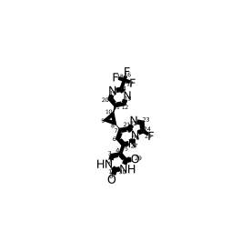 O=c1[nH]cc(-c2cc([C@@H]3C[C@H]3c3cnc(C(F)(F)F)nc3)c3ncc(F)n3n2)c(=O)[nH]1